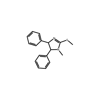 CSC1=NC(c2ccccc2)C(c2ccccc2)N1C